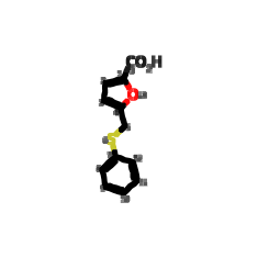 O=C(O)c1ccc(CSc2ccccc2)o1